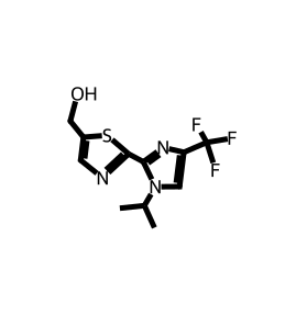 CC(C)n1cc(C(F)(F)F)nc1-c1ncc(CO)s1